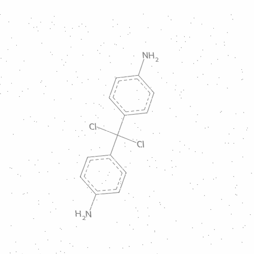 Nc1ccc(C(Cl)(Cl)c2ccc(N)cc2)cc1